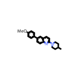 COc1ccc(-c2ccc3nc(N4CCC(C)CC4)ccc3c2)cc1